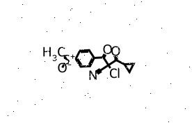 C[S+]([O-])c1ccc(C(=O)C(Cl)(C#N)C(=O)C2CC2)cc1